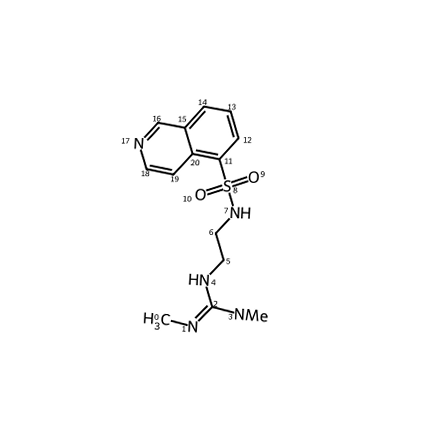 C/N=C(/NC)NCCNS(=O)(=O)c1cccc2cnccc12